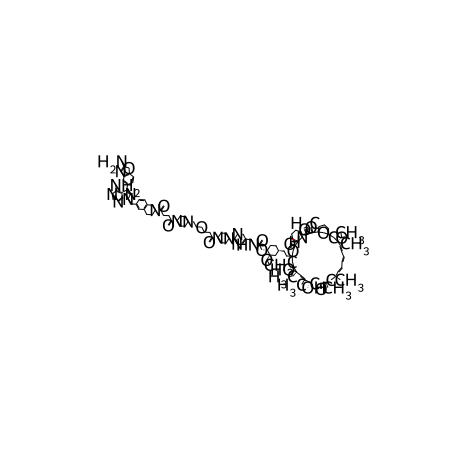 CO[C@H]1CC2CC[C@@H](C)C(O2)C(=O)C(=O)N2CCCC[C@H]2C(=O)O[C@H](CC[C@@H]2CC[C@@H](OC(=O)NCc3cnc(N4CCN(C(=O)CCOCCN5CCN(C(=O)CCC(=O)N6CCc7cc(Cn8nc(-c9ccc%10oc(N)nc%10c9)c9c(N)ncnc98)ccc7C6)CC5)CC4)nc3)[C@H](OC)C2)C[C@@H](O)[C@H](C)/C=C(\C)[C@@H](O)CC(=O)[C@H](C)C[C@H](C)/C=C/C=C/C=C/1C